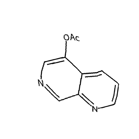 CC(=O)Oc1cncc2ncccc12